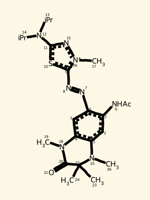 CC(=O)Nc1cc2c(cc1N=Nc1sc(N(C(C)C)C(C)C)n[n+]1C)N(C)C(=O)C(C)(C)N2C